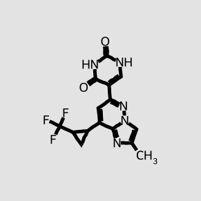 Cc1cn2nc(-c3c[nH]c(=O)[nH]c3=O)cc(C3CC3C(F)(F)F)c2n1